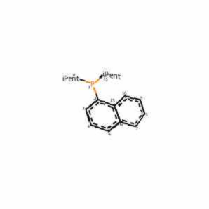 CCCC(C)P(c1cccc2ccccc12)C(C)CCC